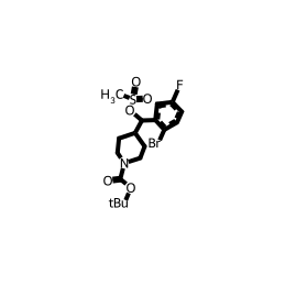 CC(C)(C)OC(=O)N1CCC(C(OS(C)(=O)=O)c2cc(F)ccc2Br)CC1